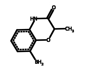 Bc1cccc2c1OC(C)C(=O)N2